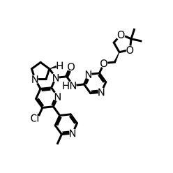 Cc1cc(-c2nc3c(cc2Cl)N2CC[C@@H](C2)N3C(=O)Nc2cncc(OC[C@H]3COC(C)(C)O3)n2)ccn1